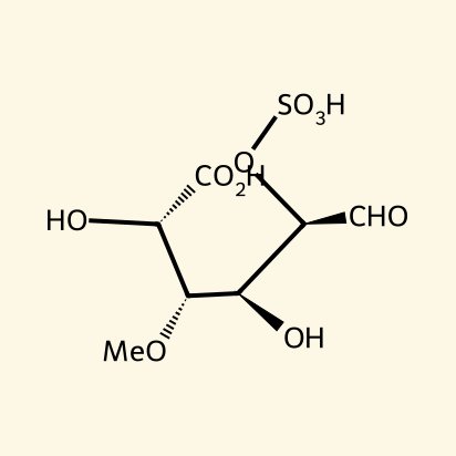 CO[C@@H]([C@H](O)[C@H](C=O)OS(=O)(=O)O)[C@H](O)C(=O)O